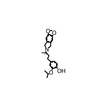 CC(C)Oc1cc(CC[C@@H](C)N2Cc3cc4c(cc3C2)OCO4)ccc1O